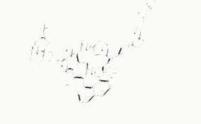 CN(c1nc(OC[C@@]23CCCN2C[C@H](F)C3)nc2c(F)c(-c3cccc4ccc(F)c(Cl)c34)ncc12)[C@@H]1CCN(C(=O)/C=C/[C@H]2CCN2CCO[Si](C)(C)C(C)(C)C)C1